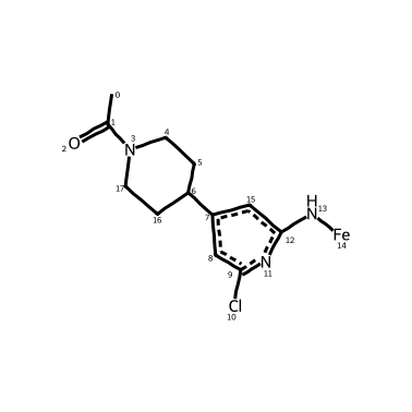 CC(=O)N1CCC(c2cc(Cl)nc([NH][Fe])c2)CC1